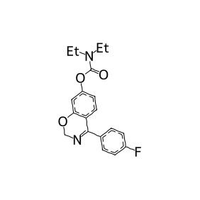 CCN(CC)C(=O)Oc1ccc2c(c1)OCN=C2c1ccc(F)cc1